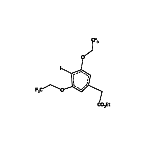 CCOC(=O)Cc1cc(OCC(F)(F)F)c(I)c(OCC(F)(F)F)c1